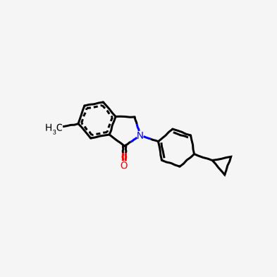 Cc1ccc2c(c1)C(=O)N(C1=CCC(C3CC3)C=C1)C2